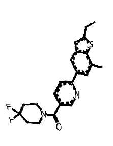 CCc1cc2cc(-c3ccc(C(=O)N4CCC(F)(F)CC4)cn3)cc(C)c2s1